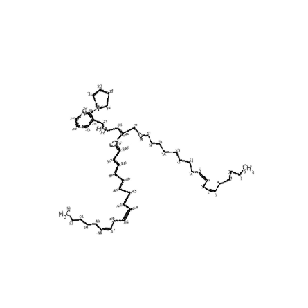 CCCCC/C=C\C/C=C\CCCCCCCCOCC(CNCc1cccnc1N1CCCC1)OCCCCCCCC/C=C\C/C=C\CCCCC